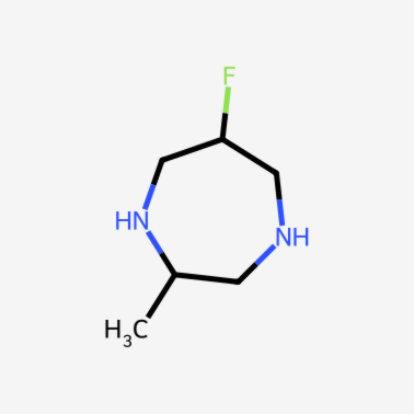 CC1CNCC(F)CN1